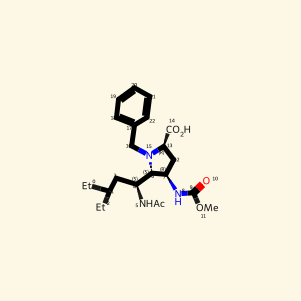 CCC(CC)C[C@H](NC(C)=O)[C@H]1[C@H](NC(=O)OC)C[C@H](C(=O)O)N1Cc1ccccc1